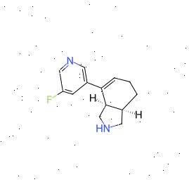 Fc1cncc(C2=CCC[C@H]3CNC[C@@H]23)c1